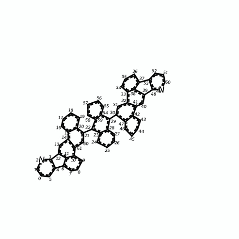 c1cnc2c(c1)-c1cccc3c1c-2cc1c2ccccc2c(-c2c4ccccc4c(-c4cc5c6cccc7c6c(cc5c5ccccc45)-c4ncccc4-7)c4ccccc24)cc31